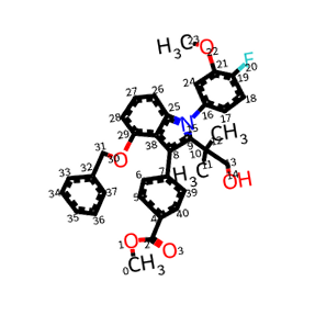 COC(=O)c1ccc(-c2c(C(C)(C)CO)n(-c3ccc(F)c(OC)c3)c3cccc(OCc4ccccc4)c23)cc1